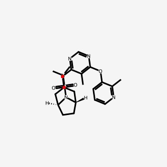 Cc1ncccc1Oc1ncnc(OC2C[C@@H]3CC[C@@H](C2)N3S(=O)(=O)N(C)C)c1C